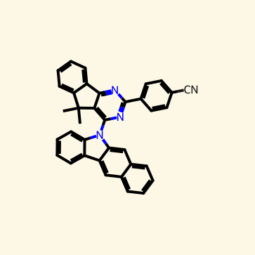 CC1(C)c2ccccc2-c2nc(-c3ccc(C#N)cc3)nc(-n3c4ccccc4c4cc5ccccc5cc43)c21